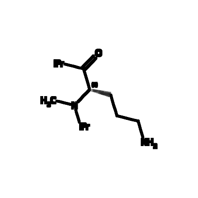 CC(C)C(=O)[C@H](CCCN)N(C)C(C)C